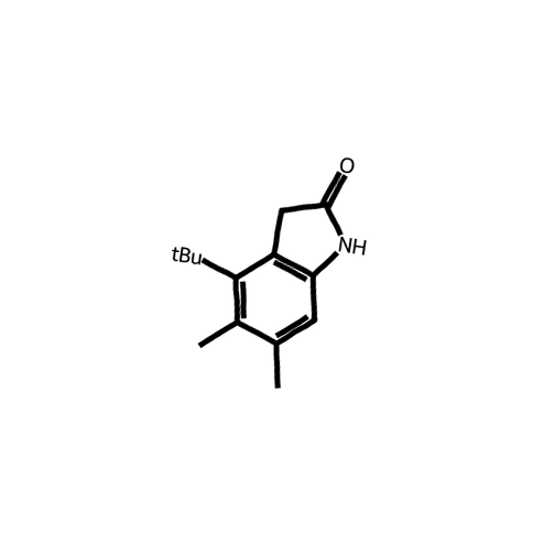 Cc1cc2c(c(C(C)(C)C)c1C)CC(=O)N2